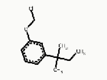 CCC(C)(C)c1cccc(OCCl)c1